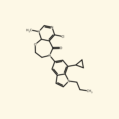 CCCn1ccc2cc(N3CCOC4C(=C(Cl)N=CN4C)C3=O)cc(C3CC3)c21